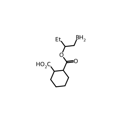 BCC(CC)OC(=O)C1CCCCC1C(=O)O